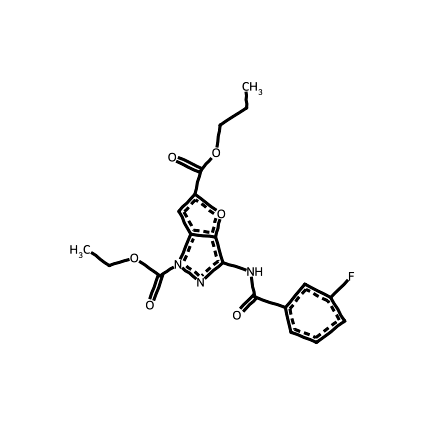 CCCOC(=O)c1cc2c(o1)c(NC(=O)c1cccc(F)c1)nn2C(=O)OCC